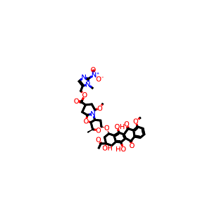 COc1cccc2c1C(=O)c1c(O)c3c(c(O)c1C2=O)C[C@@](O)(C(C)=O)C[C@@H]3O[C@H]1CC2C(OC3CC(C(=O)OCc4cnc([N+](=O)[O-])n4C)CC(OC)N32)[C@H](C)O1